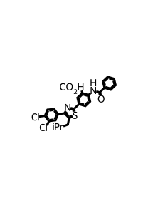 CC(C)Cc1sc(-c2ccc(NC(=O)c3ccccc3)c(C(=O)O)c2)nc1-c1ccc(Cl)c(Cl)c1